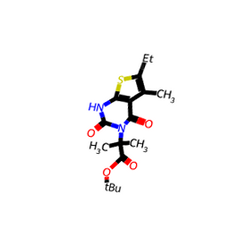 CCc1sc2[nH]c(=O)n(C(C)(C)C(=O)OC(C)(C)C)c(=O)c2c1C